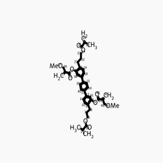 C=C(C)C(=O)OCCCc1ccc(-c2ccc(-c3ccc(CCCOC(=O)C(=C)C)c(OC(=O)C(=C)COC)c3)cc2)cc1OC(=O)C(=C)COC